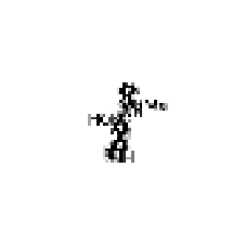 CO[C@@H]1c2ccccc2C[C@@H]1NCc1ccc(-c2ccc3[nH]cnc3c2)cc1.Cl